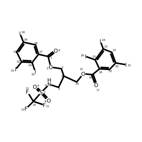 O=C(OCC(CNS(=O)(=O)C(F)(F)F)COC(=O)c1cc(I)cc(I)c1I)c1cc(I)cc(I)c1I